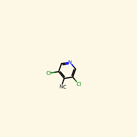 [C-]#[N+]c1c(Cl)cncc1Cl